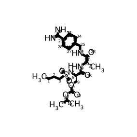 CCCCS(=O)(=O)N[C@H](COC(=O)OC(C)C)C(=O)N[C@@H](C)C(=O)NCc1ccc(C(=N)N)cc1